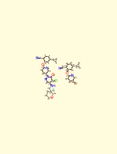 N#Cc1ccc(C2CC2)cc1Oc1ccc(-n2ncc(NC[C@@]3(F)CCCOC3)c(Cl)c2=O)cn1.N#Cc1ccc(C2CC2)cc1Oc1ccc(Br)cn1